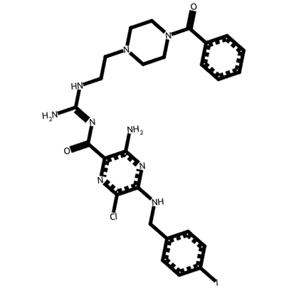 N/C(=N\C(=O)c1nc(Cl)c(NCc2ccc(I)cc2)nc1N)NCCN1CCN(C(=O)c2ccccc2)CC1